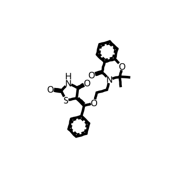 CC1(C)Oc2ccccc2C(=O)N1CCOC(=C1SC(=O)NC1=O)c1ccccc1